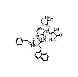 CC(C)C[C@H](NC(=O)C(Cc1cccc2ccccc12)NC(=O)OCc1ccccc1)C(=O)N[C@H](/C=C(\C#N)C(N)=O)C[C@@H]1CCCNC1=O